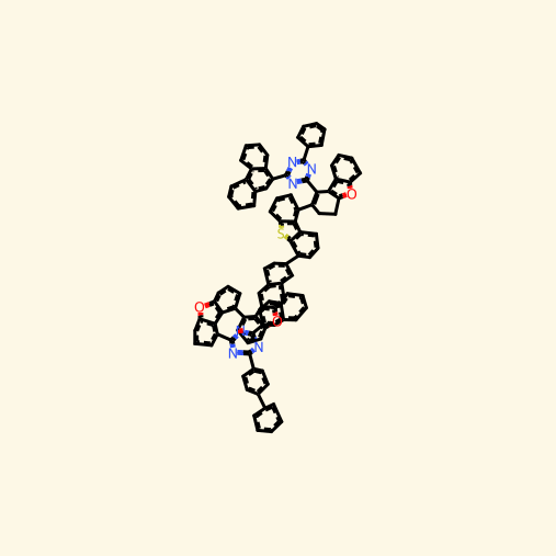 c1ccc(-c2ccc(-c3nc(-c4ccc5ccccc5c4)nc(-c4cccc5oc6cccc(-c7cccc8oc9cc%10cc(-c%11cccc%12c%11sc%11cccc(C%13=C(c%14nc(-c%15ccccc%15)nc(-c%15cc%16ccccc%16c%16ccccc%15%16)n%14)c%14c(oc%15ccccc%14%15)CC%13)c%11%12)ccc%10cc9c78)c6c45)n3)cc2)cc1